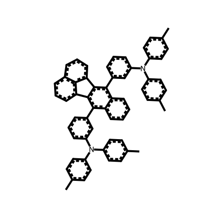 Cc1ccc(N(c2ccc(C)cc2)c2cccc(-c3c4c(c(-c5cccc(N(c6ccc(C)cc6)c6ccc(C)cc6)c5)c5ccccc35)-c3cccc5cccc-4c35)c2)cc1